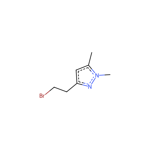 Cc1cc(CCBr)nn1C